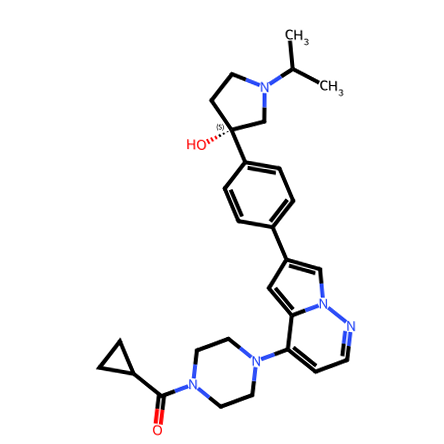 CC(C)N1CC[C@](O)(c2ccc(-c3cc4c(N5CCN(C(=O)C6CC6)CC5)ccnn4c3)cc2)C1